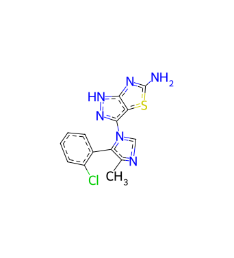 Cc1ncn(-c2n[nH]c3nc(N)sc23)c1-c1ccccc1Cl